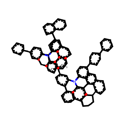 CC(C)(CC1CCCCC1c1cccc2cccc(-c3ccccc3N(c3ccc(-c4ccccc4)cc3)c3cc(-c4cccc5ccccc45)ccc3-c3ccccc3)c12)c1ccc(-c2ccccc2)c(N(c2ccc(-c3ccc(-c4ccccc4)cc3)cc2)c2ccccc2-c2cccc3cccc(C4CCCCC4)c23)c1